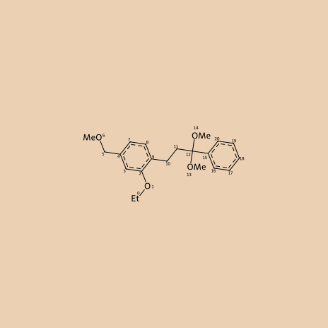 CCOc1cc(COC)ccc1CCC(OC)(OC)c1ccccc1